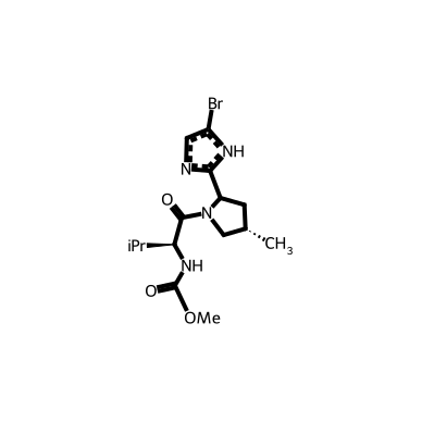 COC(=O)N[C@H](C(=O)N1C[C@@H](C)CC1c1ncc(Br)[nH]1)C(C)C